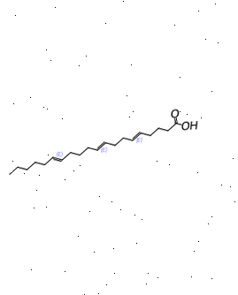 CCCCC/C=C/CCC/C=C/CC/C=C/CCCC(=O)O